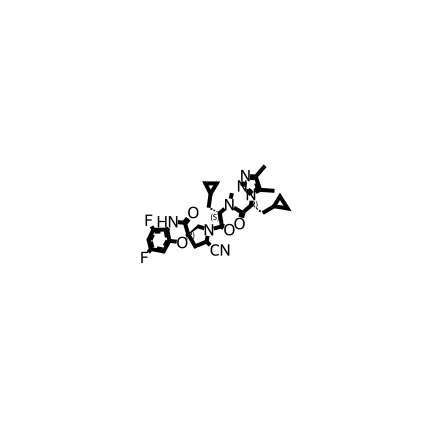 Cc1nnn([C@H](CC2CC2)C(=O)N(C)[C@@H](CC2CC2)C(=O)N2C[C@@]3(CC2C#N)Oc2cc(F)cc(F)c2NC3=O)c1C